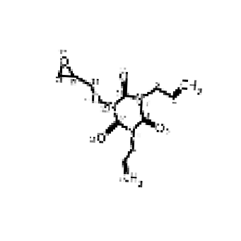 C=CCn1c(=O)n(CC=C)c(=O)n(OCC2CO2)c1=O